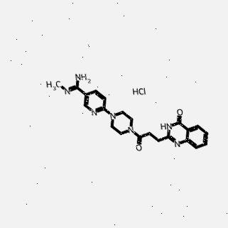 CN=C(N)c1ccc(N2CCN(C(=O)CCc3nc4ccccc4c(=O)[nH]3)CC2)nc1.Cl